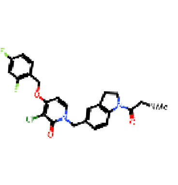 CNCC(=O)N1CCc2cc(Cn3ccc(OCc4ccc(F)cc4F)c(Cl)c3=O)ccc21